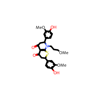 COCCCN1C2=C(C(=O)CC(c3ccc(O)c(OC)c3)S2)C(=O)CC1c1ccc(O)c(OC)c1